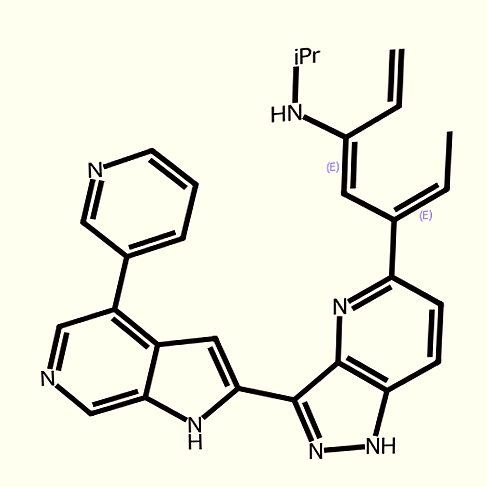 C=C/C(=C\C(=C/C)c1ccc2[nH]nc(-c3cc4c(-c5cccnc5)cncc4[nH]3)c2n1)NC(C)C